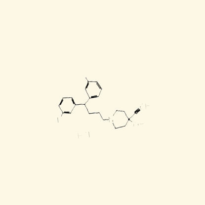 C#CC1(O)CCN(CCCC(c2cccc(F)c2)c2cccc(F)c2)CC1.Cl